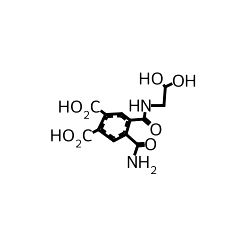 NC(=O)c1cc(C(=O)O)c(C(=O)O)cc1C(=O)NCC(O)O